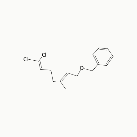 C/C(=C\COCc1ccccc1)CCC=C(Cl)Cl